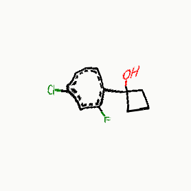 OC1(c2ccc(Cl)cc2F)CCC1